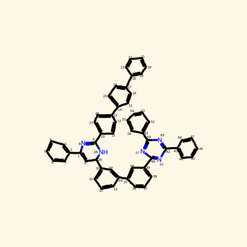 C1=C(c2ccccc2)N=C(c2ccc(-c3ccc(-c4ccccc4)cc3)cc2)NC1c1cccc(-c2cccc(-c3nc(-c4ccccc4)nc(-c4ccccc4)n3)c2)c1